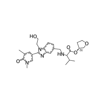 Cc1cc(-c2nc3cc(CNC(C(=O)O[C@H]4CCOC4)C(C)C)ccc3n2CCO)cn(C)c1=O